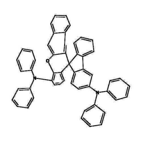 c1ccc(N(c2ccccc2)c2ccc3c(c2)-c2ccccc2C32c3cc4ccccc4cc3Oc3c(N(c4ccccc4)c4ccccc4)cccc32)cc1